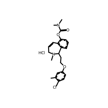 Cc1cc(OCCC2c3cccc(OC(=O)N(C)C)c3C=CCN2C)ccc1Cl.Cl